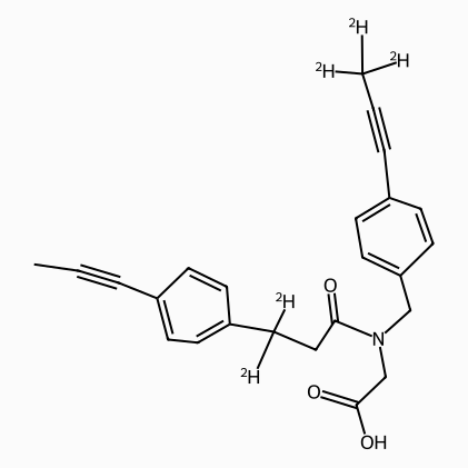 [2H]C([2H])([2H])C#Cc1ccc(CN(CC(=O)O)C(=O)CC([2H])([2H])c2ccc(C#CC)cc2)cc1